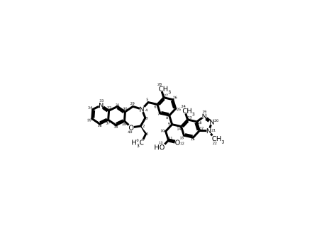 CC[C@@H]1CN(Cc2cc(C(CC(=O)O)c3ccc4c(nnn4C)c3C)ccc2C)Cc2cc3ncccc3cc2O1